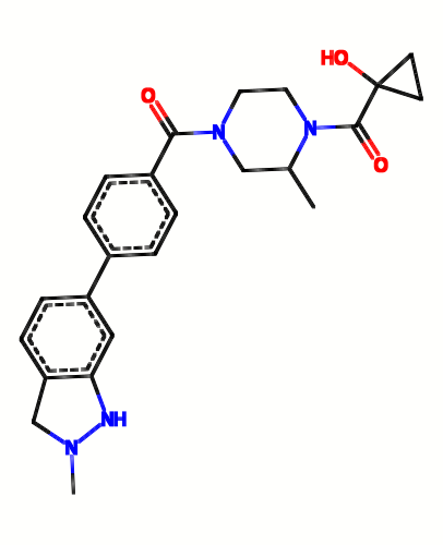 CC1CN(C(=O)c2ccc(-c3ccc4c(c3)NN(C)C4)cc2)CCN1C(=O)C1(O)CC1